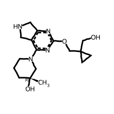 C[C@@]1(O)CCCN(c2nc(OCC3(CO)CC3)nc3c2CNC3)C1